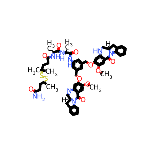 COc1cc2c(cc1OCc1cc(COc3cc4c(cc3OC)C(=O)N3c5ccccc5C[C@H]3CN4)cc(NC(=O)[C@H](C)NC(=O)[C@H](C)NC(=O)CCC(C)(C)SSC(C)CCC(N)=O)c1)N=C[C@@H]1Cc3ccccc3N1C2=O